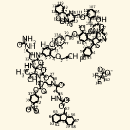 C#CCOCc1cc(NC(=O)[C@H](CCCNC(N)=O)NC(=O)[C@@H](NC(=O)OCCN(CCOC(=O)Oc2ccc([N+](=O)[O-])cc2)C(=O)CCNC(=O)OCC2c3ccccc3-c3ccccc32)C(C)C)ccc1C[N+]1(C)CCN(CCOc2ccc(-c3c(-c4ccc(F)cc4)sc4ncnc(O[C@H](Cc5ccccc5OCc5ccnc(-c6ccccc6OC)n5)C(=O)O)c34)c(C)c2Cl)CC1.O=C([O-])C(F)(F)F